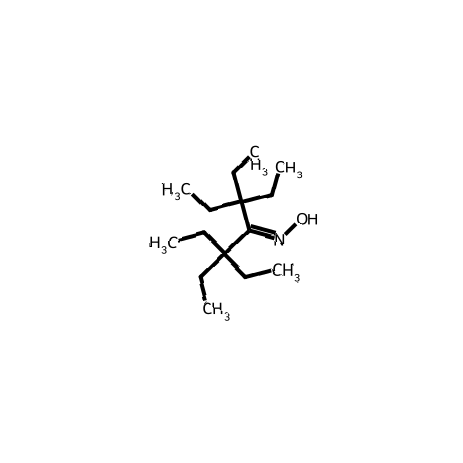 CCC(CC)(CC)C(=NO)C(CC)(CC)CC